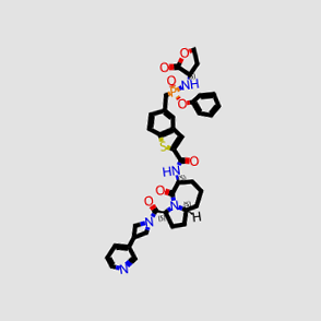 O=C(N[C@H]1CCC[C@H]2CC[C@@H](C(=O)N3CC(c4cccnc4)C3)N2C1=O)c1cc2cc(CP(=O)(N[C@H]3CCOC3=O)Oc3ccccc3)ccc2s1